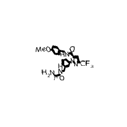 COc1ccc(CNC(=O)c2cc(C(F)(F)F)nn2-c2cccc(CNC(=O)[C@H](C)N)c2)cc1